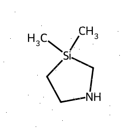 C[Si]1(C)CCNC1